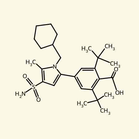 Cc1c(S(N)(=O)=O)cc(-c2cc(C(C)(C)C)c(C(=O)O)c(C(C)(C)C)c2)n1CC1CCCCC1